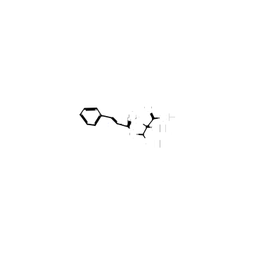 CC(OC(=O)/C=C/c1ccccc1)C(C)(C)C(=O)O